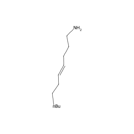 CCCCCCC=CCCCN